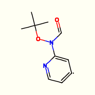 CC(C)(C)ON(C=O)c1c[c]ccn1